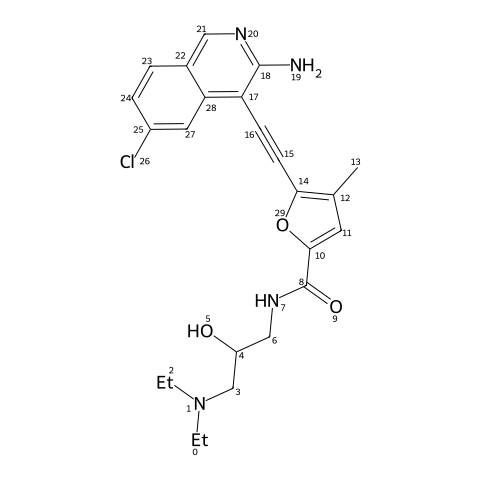 CCN(CC)CC(O)CNC(=O)c1cc(C)c(C#Cc2c(N)ncc3ccc(Cl)cc23)o1